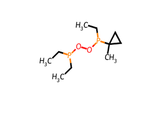 CCP(CC)OOP(CC)C1(C)CC1